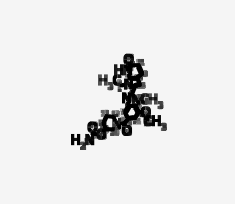 CCn1c(-c2nc3cc(C(=O)N4CCC[C@@H](OC(N)=O)C4)cc(OC)c3n2C)cc2ccc(=O)[nH]c21